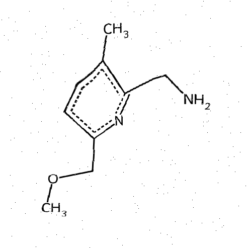 COCc1ccc(C)c(CN)n1